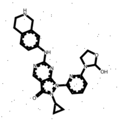 O=c1c2cnc(Nc3ccc4c(c3)CNCC4)nc2n(-c2cccc(N3CCOC3O)n2)n1C1CC1